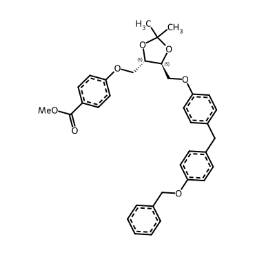 COC(=O)c1ccc(OC[C@@H]2OC(C)(C)O[C@H]2COc2ccc(Cc3ccc(OCc4ccccc4)cc3)cc2)cc1